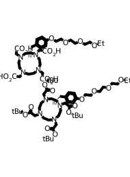 CCOCCOCCOCCOc1ccc(C[C@H]2CN(CC(=O)O)CCN(CC(=O)O)CCN(CC(=O)O)CCN2CC(=O)O)cc1.CCOCCOCCOCCOc1ccc(C[C@H]2CN(CC(=O)OC(C)(C)C)CCN(CC(=O)OC(C)(C)C)CCN(CC(=O)OC(C)(C)C)CCN2CC(=O)OC(C)(C)C)cc1